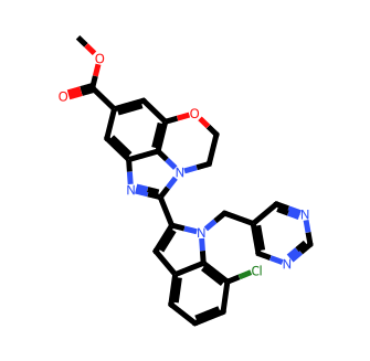 COC(=O)c1cc2c3c(c1)nc(-c1cc4cccc(Cl)c4n1Cc1cncnc1)n3CCO2